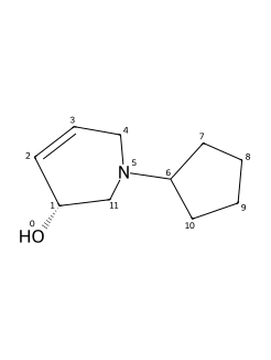 O[C@@H]1C=CCN(C2CCCC2)C1